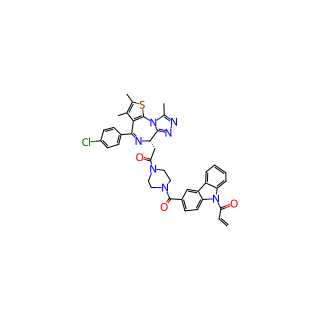 C=CC(=O)n1c2ccccc2c2cc(C(=O)N3CCN(C(=O)C[C@@H]4N=C(c5ccc(Cl)cc5)c5c(sc(C)c5C)-n5c(C)nnc54)CC3)ccc21